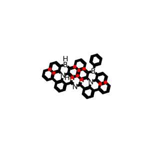 B1c2ccccc2N(c2c(C3=CCCC=C3)cccc2C2=NC(c3cccc(-c4ccccc4)c3N3c4ccccc4B(c4ccccc4)c4ccccc43)=NC(C3=CC=CCC3)N2)c2ccccc21